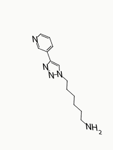 NCCCCCCn1cc(-c2cccnc2)nn1